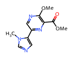 COC(=O)c1nc(-c2cncn2C)cnc1OC